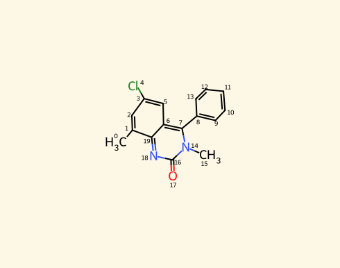 Cc1cc(Cl)cc2c(-c3ccccc3)n(C)c(=O)nc12